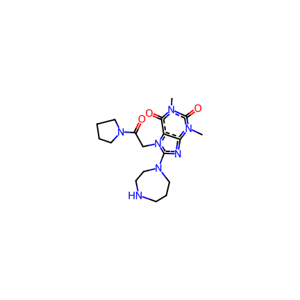 Cn1c(=O)c2c(nc(N3CCCNCC3)n2CC(=O)N2CCCC2)n(C)c1=O